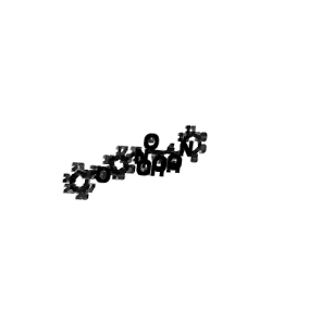 O=C([C@@H](O)CC(=O)N1CCCCC1)N(O)Cc1ccc(OCc2ccccc2)cc1